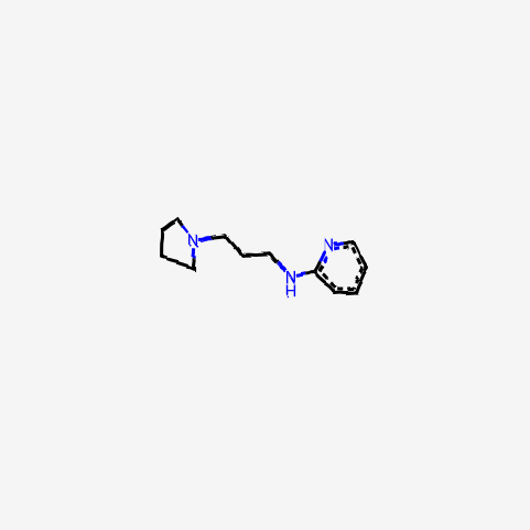 c1ccc(NCCCN2CCCC2)nc1